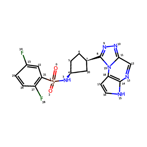 O=S(=O)(N[C@H]1CC[C@@H](c2nnc3cnc4[nH]ccc4n23)C1)c1cc(F)ccc1F